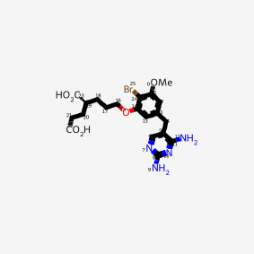 COc1cc(Cc2cnc(N)nc2N)cc(OCCC[C@@H](CCC(=O)O)C(=O)O)c1Br